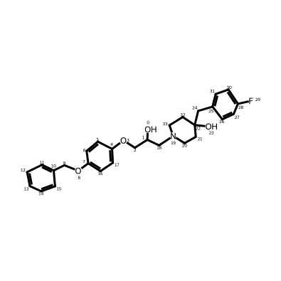 OC(COc1ccc(OCc2ccccc2)cc1)CN1CCC(O)(Cc2ccc(F)cc2)CC1